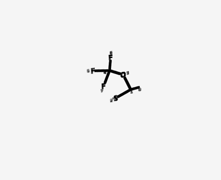 CC([S])OC(F)(F)F